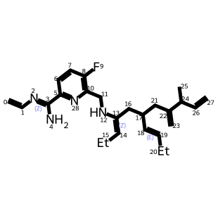 C=C/N=C(\N)c1ccc(F)c(CN/C(=C\CC)CC(/C=C/CC)CC(=C)C(C)C=C)n1